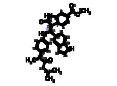 COC(=O)c1ccc2c(c1)NC(=O)/C2=C(\Nc1ccc(N(C)C(=O)CN(C)C)cc1)c1ccc2[nH]ccc2c1